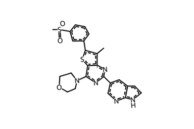 Cc1c(-c2cccc(S(C)(=O)=O)c2)sc2c(N3CCOCC3)nc(-c3cnc4[nH]ccc4c3)nc12